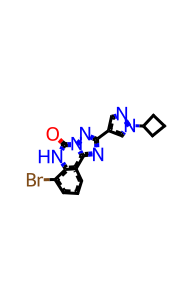 O=c1[nH]c2c(Br)cccc2c2nc(-c3cnn(C4CCC4)c3)nn12